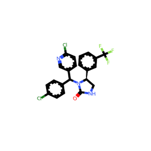 O=C1NC[C@H](c2cccc(C(F)(F)F)c2)N1C(c1ccc(Cl)cc1)c1ccc(Cl)nc1